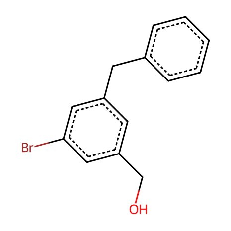 OCc1cc(Br)cc(Cc2ccccc2)c1